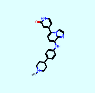 CCCN1CCC(c2ccc(Nc3ccc(-c4cc[nH]c(=O)c4)n4ccnc34)cc2)CC1